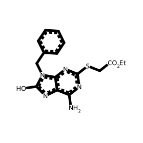 CCOC(=O)CSc1nc(N)c2nc(O)n(Cc3ccccc3)c2n1